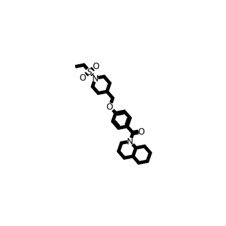 CCS(=O)(=O)N1CCC(COc2ccc(C(=O)N3CCCC4CCCCC43)cc2)CC1